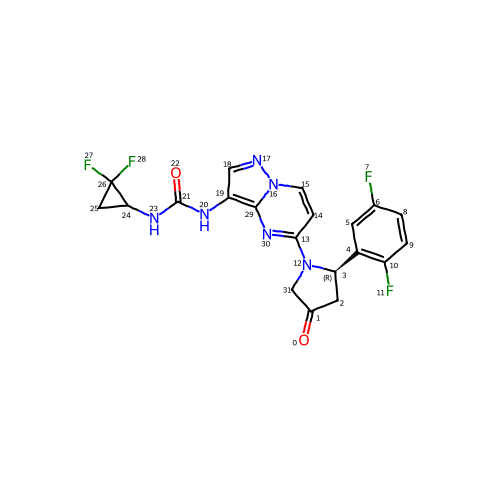 O=C1C[C@H](c2cc(F)ccc2F)N(c2ccn3ncc(NC(=O)NC4CC4(F)F)c3n2)C1